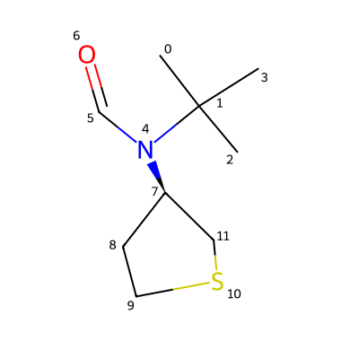 CC(C)(C)N(C=O)[C@@H]1CCSC1